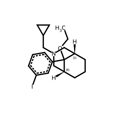 CCOC1(c2cccc(I)c2)[C@@H]2CCC[C@H]1CN(CC1CC1)C2